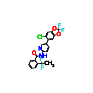 CC(F)(F)c1ccccc1C(=O)Nc1ccc(-c2cc3c(cc2Cl)OC(F)(F)O3)cn1